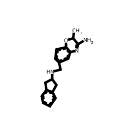 CC1Oc2ccc(CNC3Cc4ccccc4C3)cc2N=C1N